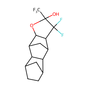 OC1(C(F)(F)F)OC2C3CC(C4C5CCC(C5)C34)C2C1(F)F